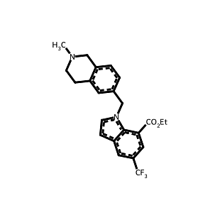 CCOC(=O)c1cc(C(F)(F)F)cc2ccn(Cc3ccc4c(c3)CCN(C)C4)c12